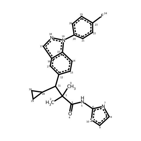 CC(C)(C(=O)Nc1nccs1)C(c1ccc2c(cnn2-c2ccc(F)cc2)c1)C1CC1